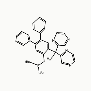 CC(C)(C)P(Cc1cc(-c2ccccc2)c(-c2ccccc2)cc1C(P)(c1cnccn1)c1cnccn1)C(C)(C)C